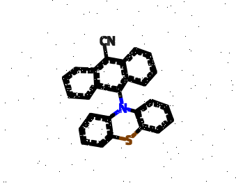 N#Cc1c2ccccc2c(N2c3ccccc3Sc3ccccc32)c2ccccc12